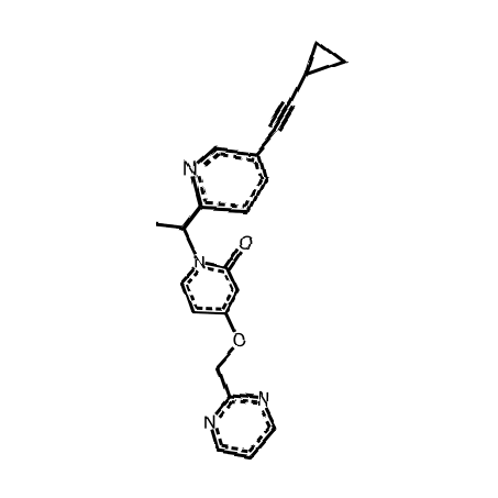 CC(c1ccc(C#CC2CC2)cn1)n1ccc(OCc2ncccn2)cc1=O